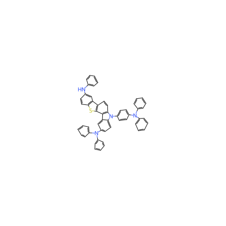 c1ccc(Nc2ccc3sc4c(ccc5c4c4cc(N(c6ccccc6)c6ccccc6)ccc4n5-c4ccc(N(c5ccccc5)c5ccccc5)cc4)c3c2)cc1